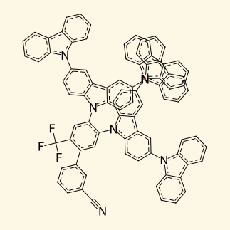 N#Cc1cccc(-c2cc(-n3c4ccc(-n5c6ccccc6c6ccccc65)cc4c4cc(-n5c6ccccc6c6ccccc65)ccc43)c(-n3c4ccc(-n5c6ccccc6c6ccccc65)cc4c4cc(-n5c6ccccc6c6ccccc65)ccc43)cc2C(F)(F)F)c1